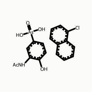 CC(=O)Nc1cc([As](=O)(O)O)ccc1O.Clc1cccc2ccccc12